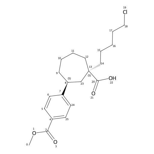 COC(=O)c1ccc([C@H]2CCCC[C@@](CCCCCCl)(C(=O)O)C2)cc1